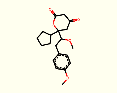 COc1ccc(CC(OC)C2(C3CCCC3)CC(=O)CC(=O)O2)cc1